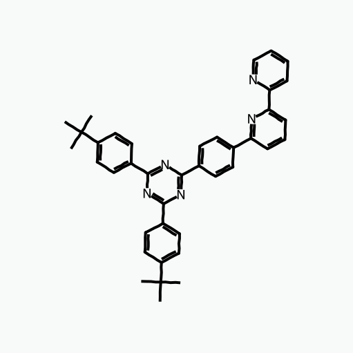 CC(C)(C)c1ccc(-c2nc(-c3ccc(-c4cccc(-c5ccccn5)n4)cc3)nc(-c3ccc(C(C)(C)C)cc3)n2)cc1